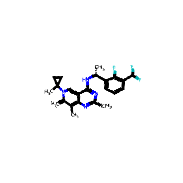 C=C1C(C)=c2nc(C)nc(N[C@H](C)c3cccc(C(F)F)c3F)c2=CN1C1(C)CC1